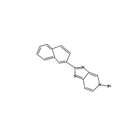 CC(C)n1ccc2nc(-c3ccc4ccccc4c3)nc-2c1